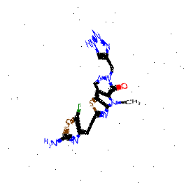 Cn1c2nc(Cc3nc(N)sc3F)sc2c2cnn(Cc3c[nH]nn3)c(=O)c21